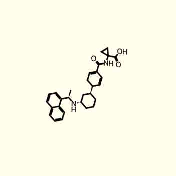 C[C@@H](N[C@H]1CCC[C@H](C2C=CC(C(=O)NC3(C(=O)O)CC3)=CC2)C1)c1cccc2ccccc12